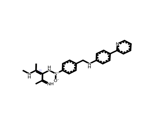 CN/C(C)=C(/N[S+]([O-])c1ccc(CNc2ccc(-c3ccccn3)cc2)cc1)C(C)=N